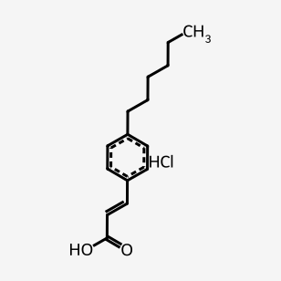 CCCCCCc1ccc(C=CC(=O)O)cc1.Cl